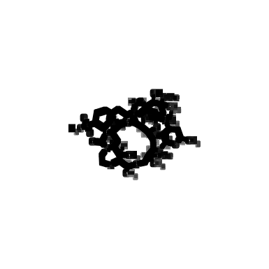 CC[C@H]1OC(=O)[C@H](C)[C@@H](O[C@H]2C[C@@](C)(OC)[C@@H](O)[C@H](C)O2)[C@H](C)[C@@H](O[C@@H]2O[C@H](C)C[C@H](N(C)CCc3cn([C@H](CF)Cc4ccc(S(C)(=O)=O)cc4)nn3)[C@H]2O)[C@](C)(OC)CC[C@@H](C)C2=NCCN3C(=O)O[C@@]1(C)C[C@H]3[C@H]2C